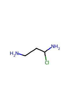 NCCC(N)Cl